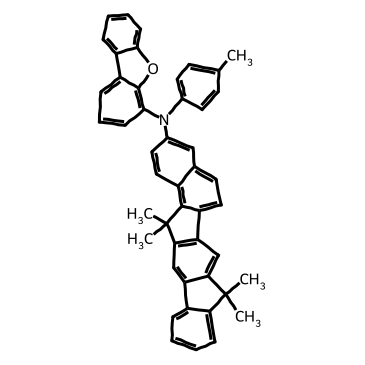 Cc1ccc(N(c2ccc3c4c(ccc3c2)-c2cc3c(cc2C4(C)C)-c2ccccc2C3(C)C)c2cccc3c2oc2ccccc23)cc1